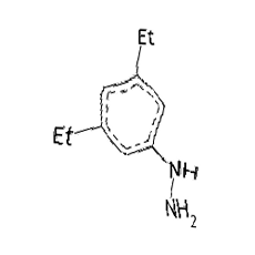 CCc1cc(CC)cc(NN)c1